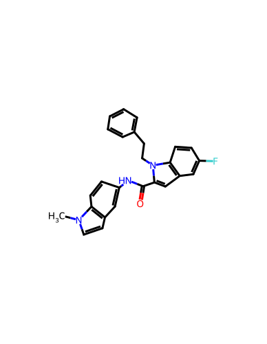 Cn1ccc2cc(NC(=O)c3cc4cc(F)ccc4n3CCc3ccccc3)ccc21